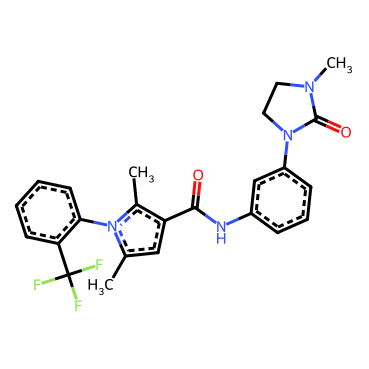 Cc1cc(C(=O)Nc2cccc(N3CCN(C)C3=O)c2)c(C)n1-c1ccccc1C(F)(F)F